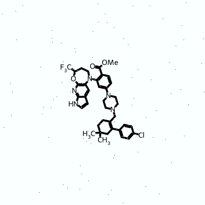 COC(=O)c1ccc(N2CCN(CC3=C(c4ccc(Cl)cc4)CC(C)(C)CC3)CC2)cc1N1CCC(C(F)(F)F)Oc2nc3[nH]ccc3cc21